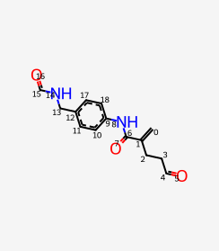 C=C(CCC=O)C(=O)Nc1ccc(CNC=O)cc1